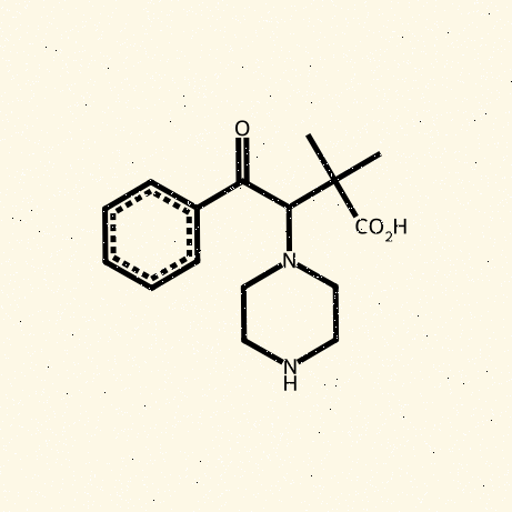 CC(C)(C(=O)O)C(C(=O)c1ccccc1)N1CCNCC1